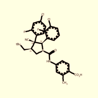 Cc1cc(NC(=O)N2C[C@@H](CC(C)(C)C)[C@](C#N)(c3ccc(Cl)cc3F)[C@H]2c2cccc(Cl)c2F)ccc1C(=O)O